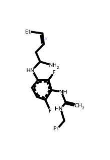 C=C(NCC(C)C)Nc1c(F)ccc(NC(N)C/C=C\CC)c1F